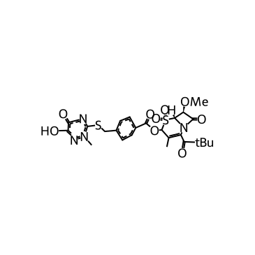 CO[C@H]1C(=O)N2C(C(=O)C(C)(C)C)=C(C)C(OC(=O)c3ccc(CSc4nc(=O)c(O)nn4C)cc3)S(=O)(=O)[C@H]12